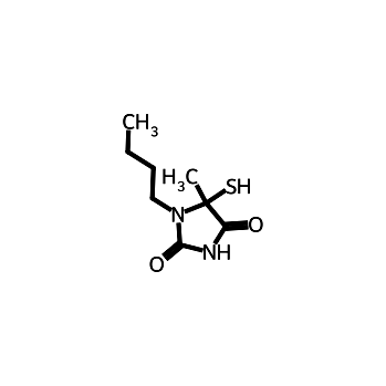 CCCCN1C(=O)NC(=O)C1(C)S